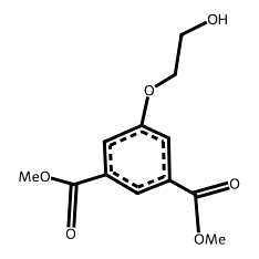 COC(=O)c1cc(OCCO)cc(C(=O)OC)c1